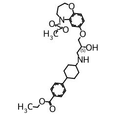 CCOC(=O)c1ccc(C2CCC(NC[C@H](O)COc3ccc4c(c3)N(S(C)(=O)=O)CCCO4)CC2)cc1